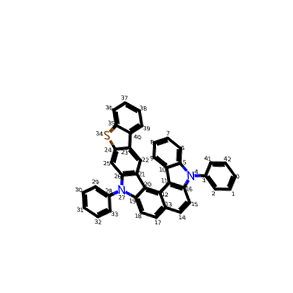 c1ccc(-n2c3ccccc3c3c4c(ccc32)ccc2c4c3cc4c(cc3n2-c2ccccc2)sc2ccccc24)cc1